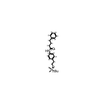 CC(C)(C)[Si](C)(C)OCCc1ccc(NC(=O)CCCc2ccccc2)cc1